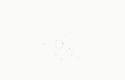 COc1cc2c(c(OC)c1OC)-c1ccc(OC)c(=O)cc1C(NC(=O)CCCC(=O)O)CC2